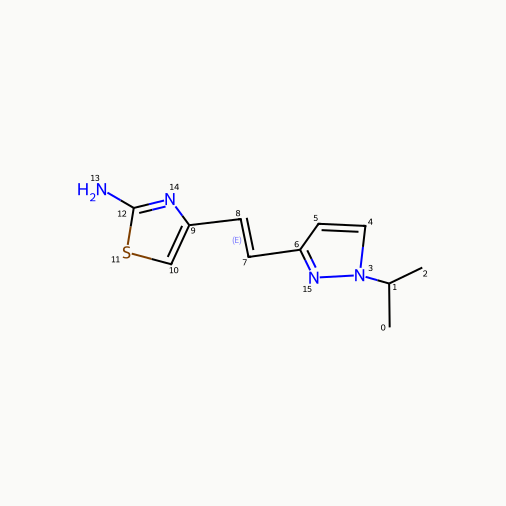 CC(C)n1ccc(/C=C/c2csc(N)n2)n1